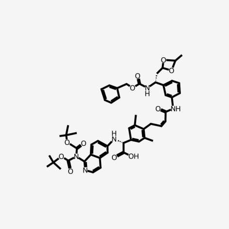 Cc1cc([C@@H](Nc2ccc3c(N(C(=O)OC(C)(C)C)C(=O)OC(C)(C)C)nccc3c2)C(=O)O)cc(C)c1C/C=C\C(=O)Nc1cccc([C@@H](CC2OC(C)O2)NC(=O)OCc2ccccc2)c1